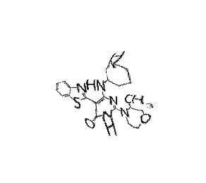 C[C@H]1COCCN1c1nc(N[C@@H]2CCCNC2)c(-c2nc3ccccc3s2)c(=O)[nH]1